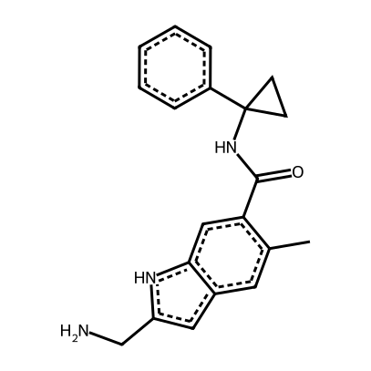 Cc1cc2cc(CN)[nH]c2cc1C(=O)NC1(c2ccccc2)CC1